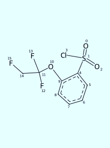 O=S(=O)(Cl)c1ccccc1OC(F)(F)CF